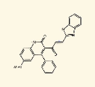 COc1ccc2[nH]c(=O)c(C(=O)/C=C/c3nc4ccccc4[nH]3)c(-c3ccccc3)c2c1